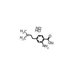 CN(C)CCc1ccc(C(=O)O)c(N)c1.Cl.Cl